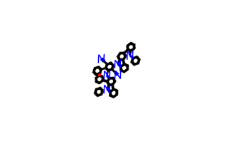 N#Cc1cc(-n2c3ccccc3c3c2ccc2c4ccccc4n(-c4ccccc4)c23)c(C#N)c(-n2c3ccccc3c3c2ccc2c4ccccc4n(-c4ccccc4)c23)c1-c1ccccc1